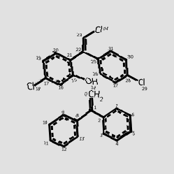 C=C(c1ccccc1)c1ccccc1.Oc1cc(Cl)ccc1C(=CCl)c1ccc(Cl)cc1